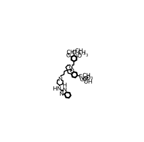 COc1cc(CN2CCC(CCCN3CCC(Nc4nc5ccccc5[nH]4)CC3)(Cc3ccc(F)cc3)C2=O)cc(OC)c1OC.CS(=O)(=O)O